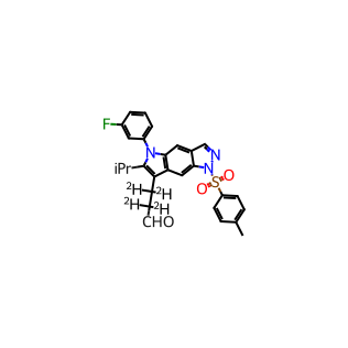 [2H]C([2H])(C=O)C([2H])([2H])c1c(C(C)C)n(-c2cccc(F)c2)c2cc3cnn(S(=O)(=O)c4ccc(C)cc4)c3cc12